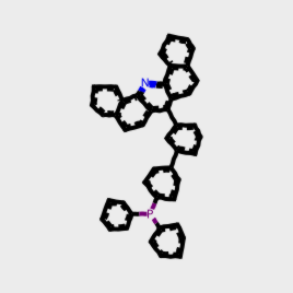 c1ccc(P(c2ccccc2)c2ccc(-c3cccc(-c4c5ccc6ccccc6c5nc5c4ccc4ccccc45)c3)cc2)cc1